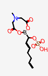 C=CCC/C=C/C(OS(=O)(=O)O)B1OC(=O)CN(C)CC(=O)O1